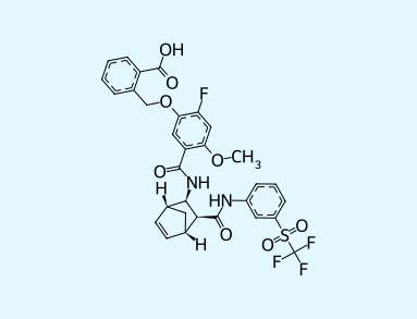 COc1cc(F)c(OCc2ccccc2C(=O)O)cc1C(=O)N[C@H]1[C@@H](C(=O)Nc2cccc(S(=O)(=O)C(F)(F)F)c2)[C@@H]2C=C[C@H]1C2